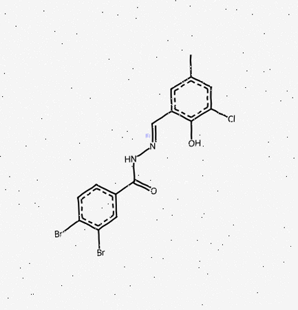 Cc1cc(Cl)c(O)c(/C=N/NC(=O)c2ccc(Br)c(Br)c2)c1